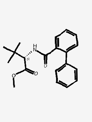 COC(=O)[C@@H](NC(=O)c1ccccc1-c1ccccc1)C(C)(C)C